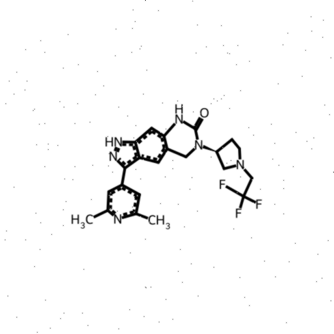 Cc1cc(-c2n[nH]c3cc4c(cc23)CN([C@H]2CCN(CC(F)(F)F)C2)C(=O)N4)cc(C)n1